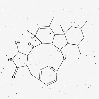 CC1=CC(C)(C)C2C(=O)C3C(O)NC(=O)C3Cc3ccc(cc3)OC3C2C1C1(C)CC(C)CC(C)C31